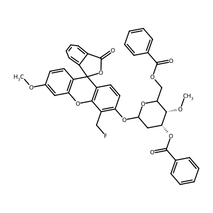 COc1ccc2c(c1)Oc1c(ccc(OC3C[C@@H](OC(=O)c4ccccc4)[C@@H](OC)C(COC(=O)c4ccccc4)O3)c1CF)C21OC(=O)c2ccccc21